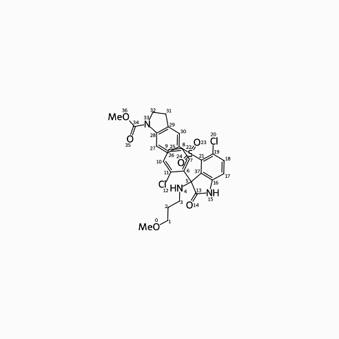 COCCCNC1(c2ccccc2Cl)C(=O)Nc2ccc(Cl)c(S(=O)(=O)c3ccc4c(c3)CCN4C(=O)OC)c21